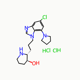 Cl.Cl.O[C@H]1CCCN[C@@H]1CCCn1cnc2cc(Cl)cc(N3CCCC3)c21